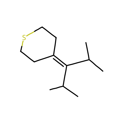 CC(C)C(=C1CCSCC1)C(C)C